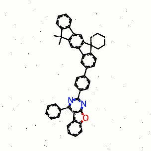 CC1(C)c2ccccc2-c2cc3c(cc21)-c1cc(-c2ccc(-c4nc(-c5ccccc5)c5c(n4)oc4ccccc45)cc2)ccc1C31CCCCC1